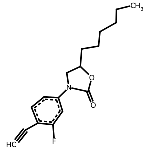 C#Cc1ccc(N2CC(CCCCCC)OC2=O)cc1F